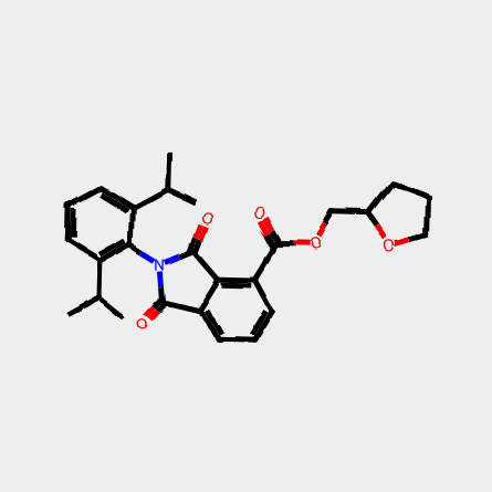 CC(C)c1cccc(C(C)C)c1N1C(=O)c2cccc(C(=O)OCC3CCCO3)c2C1=O